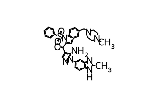 Cc1nc2cc(-n3ncc(C(=O)c4cc5cc(CN6CCN(C)CC6)ccc5n4S(=O)(=O)c4ccccc4)c3N)ccc2[nH]1